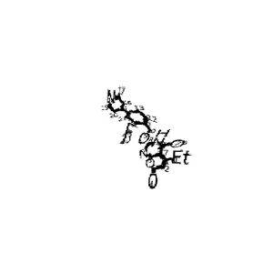 CCc1cc(=O)oc2nc(OCc3ccc(-c4ccncc4)cc3F)[nH]c(=O)c12